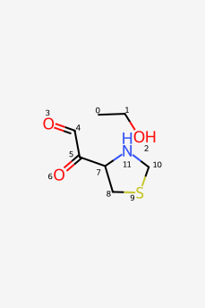 CCO.O=CC(=O)C1CSCN1